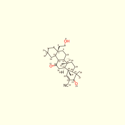 CC1(C)CC[C@]2(CCO)CC[C@]3(C)C(C(=O)C[C@@H]4[C@@]5(C)C=C(C#N)C(=O)C(C)(C)C5CC[C@]43C)C2C1